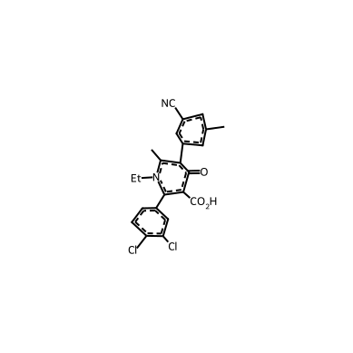 CCn1c(C)c(-c2cc(C)cc(C#N)c2)c(=O)c(C(=O)O)c1-c1ccc(Cl)c(Cl)c1